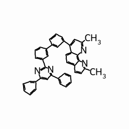 Cc1ccc2ccc3c(-c4cccc(-c5cccc(-c6nc(-c7ccccc7)cc(-c7ccccc7)n6)c5)c4)cc(C)nc3c2n1